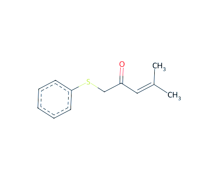 CC(C)=CC(=O)CSc1ccccc1